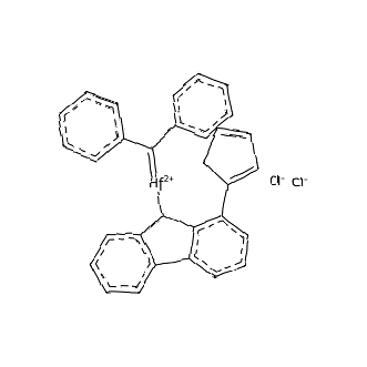 C1=CCC(c2cccc3c2[CH]([Hf+2]=[C](c2ccccc2)c2ccccc2)c2ccccc2-3)=C1.[Cl-].[Cl-]